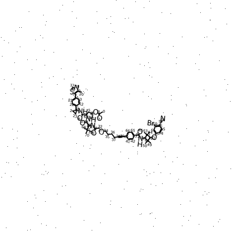 CC(=O)O[C@@H]1C[C@H](C(=O)NC2(c3ccc(-c4scnc4C)cc3)CC2)N(C(=O)[C@@H](NC(=O)COCCCCC#Cc2ccc(C(=O)NC3C(C)(C)C(Oc4ccc(C#N)c(Br)c4)C3(C)C)cc2)C(C)(C)C)C1